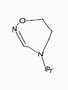 CC(C)N1C=NOCC1